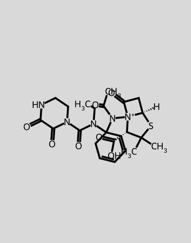 CCN(C(=O)N1CCNC(=O)C1=O)C1(N(C(C)=O)[N+]23C(=O)C[C@H]2SC(C)(C)[C@@H]3C(=O)O)C=CC=CC1